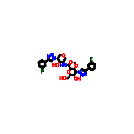 CO[C@@H]1[C@@H](n2cc(-c3cccc(F)c3)nn2)[C@@H](O)[C@@H](CO)O[C@H]1C(=O)N[C@@H]1COC[C@H](n2cc(-c3cccc(F)c3)nn2)[C@H]1O